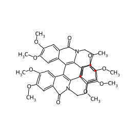 COc1cc2c(cc1OC)-c1c(-c3c4n(c(=O)c5cc(OC)c(OC)cc35)CCc3cc(OC)c(OC)cc3-4)c3cc(OC)c(OC)cc3c(=O)n1CC2